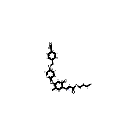 CCCCOC(=O)/C=C/c1cc(C)c(Oc2ccc(OCc3ccc(C#N)cc3)cn2)cc1Cl